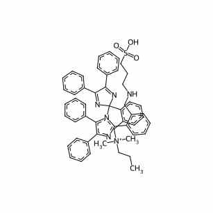 CCC[N+](C)(C)Cc1ccccc1C1(n2c(-c3ccccc3CNCCCS(=O)(=O)O)nc(-c3ccccc3)c2-c2ccccc2)N=C(c2ccccc2)C(c2ccccc2)=N1